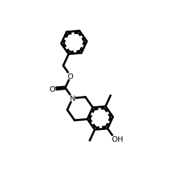 Cc1cc(O)c(C)c2c1CN(C(=O)OCc1ccccc1)CC2